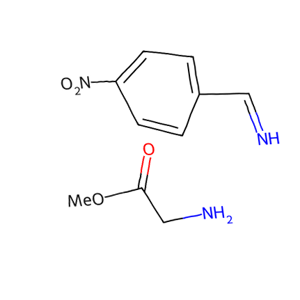 COC(=O)CN.N=Cc1ccc([N+](=O)[O-])cc1